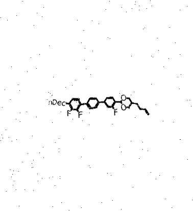 C=CCCC1COC(c2ccc(-c3ccc(-c4ccc(CCCCCCCCCC)c(F)c4F)cc3)cc2F)OC1